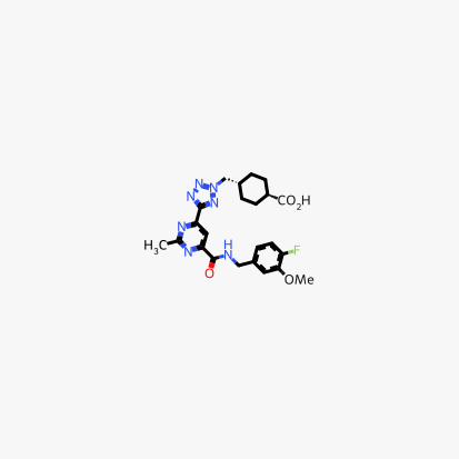 COc1cc(CNC(=O)c2cc(-c3nnn(C[C@H]4CC[C@H](C(=O)O)CC4)n3)nc(C)n2)ccc1F